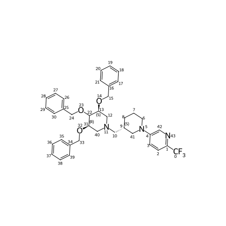 FC(F)(F)c1ccc(N2CCC[C@@H](CN3C[C@H](OCc4ccccc4)C(OCc4ccccc4)[C@H](OCc4ccccc4)C3)C2)cn1